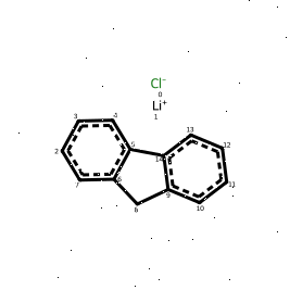 [Cl-].[Li+].c1ccc2c(c1)Cc1ccccc1-2